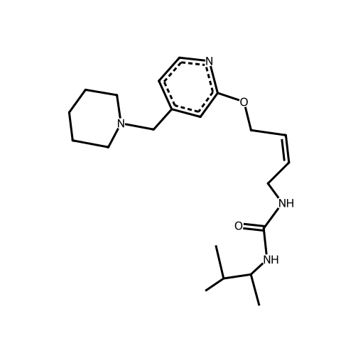 CC(C)C(C)NC(=O)NC/C=C\COc1cc(CN2CCCCC2)ccn1